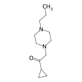 CCCN1CCN(CC(=O)C2CC2)CC1